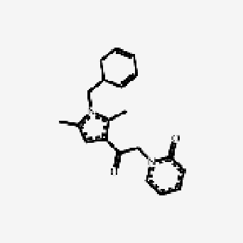 Cc1cc(C(=O)Cn2ccccc2=O)c(C)n1CC1C=CC=CC1